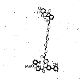 COc1cccc(F)c1-c1nccc(C(=O)Nc2ccc(-c3cnccc3C#N)cc2N2CCN(C(=O)CCOCCOCCOCCOCCOCCNc3cccc4c3C(=O)N(C3CCC(=O)NC3=O)C4=O)CC2)n1